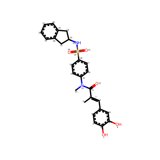 C/C(=C\c1ccc(O)c(O)c1)C(=O)N(C)c1ccc(S(=O)(=O)NC2Cc3ccccc3C2)cc1